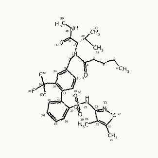 CCCCC(=O)N(Cc1ccc(-c2ccccc2S(=O)(=O)Nc2noc(C)c2C)c(C(F)(F)F)c1)[C@H](C(=O)NC)C(C)C